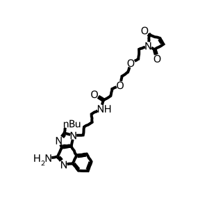 CCCCc1nc2c(N)nc3ccccc3c2n1CCCCNC(=O)CCOCCOCCN1C(=O)C=CC1=O